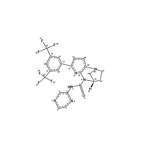 O=C(Nc1cnccn1)N1c2nc(-c3cc(C(F)(F)F)cc(C(F)(F)F)c3)ccc2N2CC[C@H]1C2